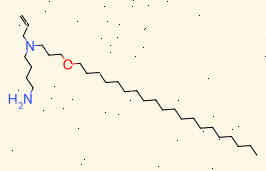 C=CCN(CCCCN)CCCOCCCCCCCCCCCCCCCCCCCC